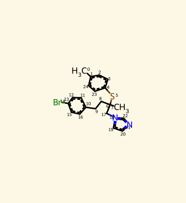 Cc1ccc(SC(C)(CCc2ccc(Br)cc2)Cn2ccnc2)cc1